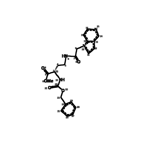 COC(=O)[C@H](CCNC(=O)Cn1ccc2cnccc21)NC(=O)OCc1ccccc1